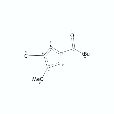 COc1cc(C(=O)C(C)(C)C)sc1Cl